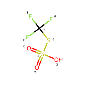 O=S(=O)(O)SC(F)(F)F